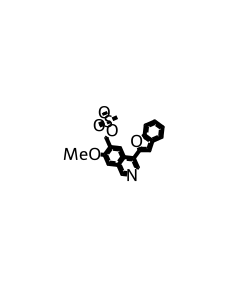 COc1cc2cncc(-c3cc4ccccc4o3)c2cc1COS(C)(=O)=O